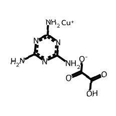 Nc1nc(N)nc(N)n1.O=C([O-])C(=O)O.[Cu+]